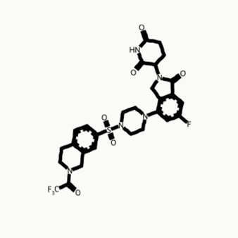 O=C1CCC(N2Cc3c(cc(F)cc3N3CCN(S(=O)(=O)c4ccc5c(c4)CN(C(=O)C(F)(F)F)CC5)CC3)C2=O)C(=O)N1